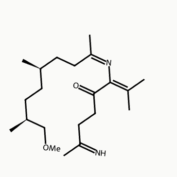 COC[C@@H](C)CC[C@@H](C)CC/C(C)=N\C(C(=O)CCC(C)=N)=C(C)C